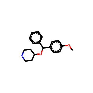 COc1ccc(C(OC2CC[N]CC2)c2ccccc2)cc1